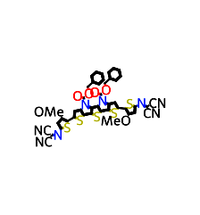 COc1cc(N=C(C#N)C#N)sc1-c1cc2c(s1)c1sc3c4sc(-c5sc(N=C(C#N)C#N)cc5OC)cc4n(C(=O)OCc4ccccc4)c3c1n2C(=O)OCc1ccccc1